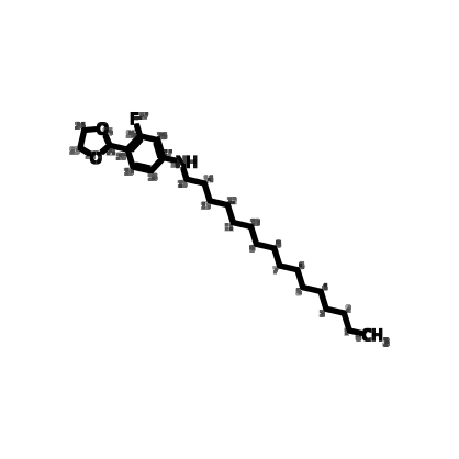 CCCCCCCCCCCCCCCCNc1ccc(C2OCCO2)c(F)c1